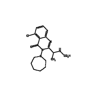 CC(NC(=O)O)c1nc2cccc(Cl)c2c(=O)n1N1CCCCCC1